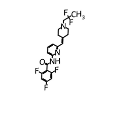 CC(F)(F)CN1CCC(=Cc2cccc(NC(=O)c3c(F)cc(F)cc3F)n2)CC1